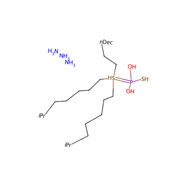 CCCCCCCCCCCC[SH](CCCCCC(C)C)(CCCCCC(C)C)=P(O)(O)S.N.N.N